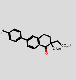 CCOC(=O)CC1(OC)CCc2cc(-c3ccc([N+](=O)[O-])cc3)ccc2C1=O